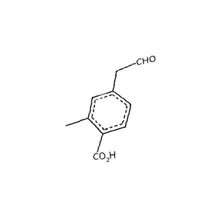 Cc1cc(CC=O)ccc1C(=O)O